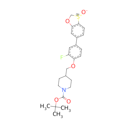 CC(C)(C)OC(=O)N1CCC(COc2ccc(-c3ccc4c(c3)OC[S@+]4[O-])cc2F)CC1